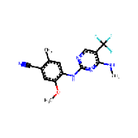 CNc1nc(Nc2cc(C)c(C#N)cc2OC)ncc1C(F)(F)F